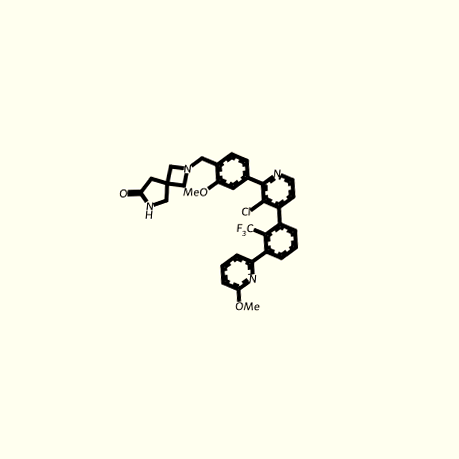 COc1cccc(-c2cccc(-c3ccnc(-c4ccc(CN5CC6(CNC(=O)C6)C5)c(OC)c4)c3Cl)c2C(F)(F)F)n1